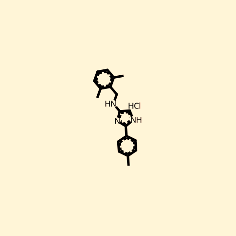 Cc1ccc(-c2nc(NCc3c(C)cccc3C)c[nH]2)cc1.Cl